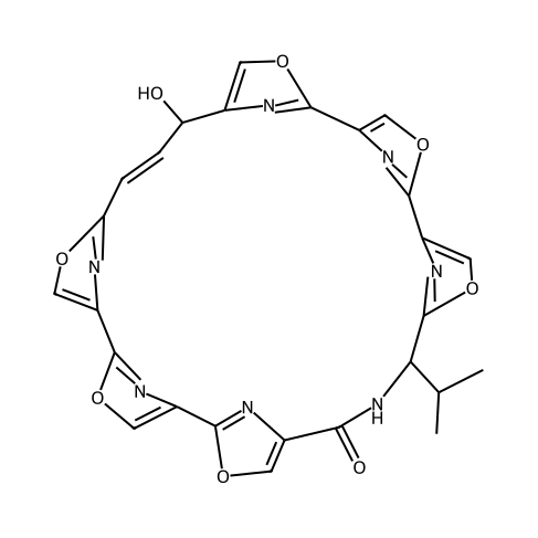 CC(C)C1NC(=O)c2coc(n2)-c2coc(n2)-c2coc(n2)/C=C/C(O)c2coc(n2)-c2coc(n2)-c2coc1n2